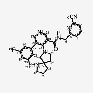 N#Cc1cccc(CNC(=O)c2cncc(-c3cc(F)cc(F)c3)c2N2CCC3(CCCN3)C2)n1